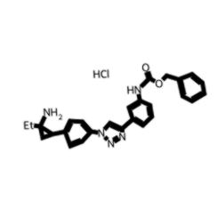 CCC1(N)CC1c1ccc(-n2cc(-c3cccc(NC(=O)OCc4ccccc4)c3)nn2)cc1.Cl